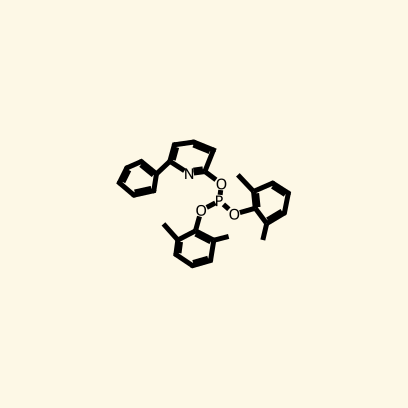 Cc1cccc(C)c1OP(Oc1cccc(-c2ccccc2)n1)Oc1c(C)cccc1C